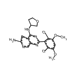 COc1cc(OC)c(Cl)c(-c2nc(NC3CCOC3)c3cc(N)ncc3n2)c1Cl